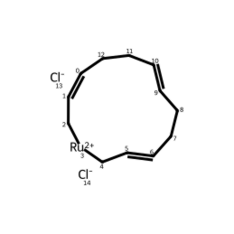 C1=C\[CH2][Ru+2][CH2]/C=C/CC/C=C/CC/1.[Cl-].[Cl-]